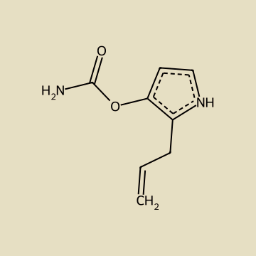 C=CCc1[nH]ccc1OC(N)=O